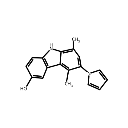 Cc1cc(-n2cccc2)c(C)c2c1[nH]c1ccc(O)cc12